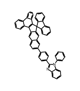 c1ccc(-n2c(-c3ccc(-c4ccc5cc6c(cc5c4)C4(c5ccccc5-c5ccccc54)c4c-6c5ccccc5c5ccccc45)cc3)nc3ccccc32)cc1